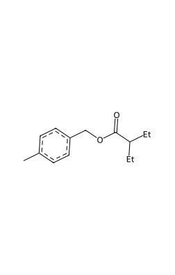 CCC(CC)C(=O)OCc1ccc(C)cc1